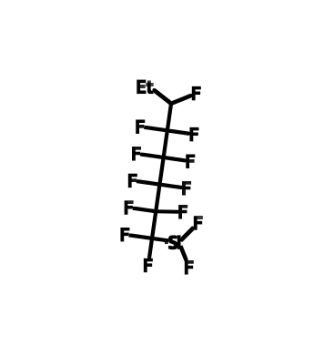 CCC(F)C(F)(F)C(F)(F)C(F)(F)C(F)(F)C(F)(F)[Si](F)F